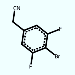 N#CCc1cc(F)c(Br)c(F)c1